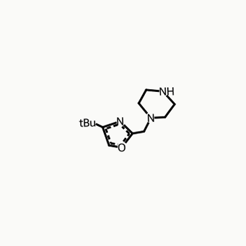 CC(C)(C)c1coc(CN2CCNCC2)n1